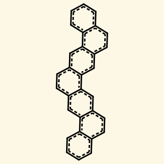 c1ccc2c(c1)ccc1cc3c(ccc4cc5c(ccc6ccccc65)cc43)cc12